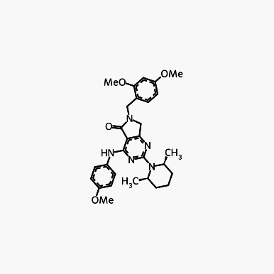 COc1ccc(Nc2nc(N3[C@H](C)CCC[C@@H]3C)nc3c2C(=O)N(Cc2ccc(OC)cc2OC)C3)cc1